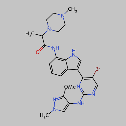 COc1nn(C)cc1Nc1ncc(Br)c(-c2c[nH]c3c(NC(=O)C(C)N4CCN(C)CC4)cccc23)n1